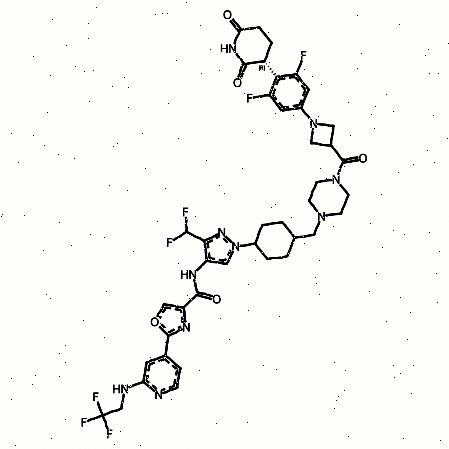 O=C1CC[C@H](c2c(F)cc(N3CC(C(=O)N4CCN(CC5CCC(n6cc(NC(=O)c7coc(-c8ccnc(NCC(F)(F)F)c8)n7)c(C(F)F)n6)CC5)CC4)C3)cc2F)C(=O)N1